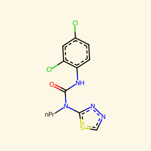 CCCN(C(=O)Nc1ccc(Cl)cc1Cl)c1nncs1